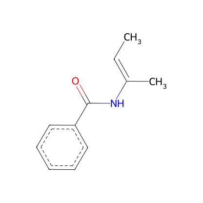 CC=C(C)NC(=O)c1ccccc1